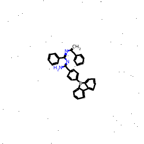 C=C(/N=C(\N=C(/N)c1ccc(B2c3ccccc3-c3ccccc32)cc1)c1ccccc1)c1ccccc1